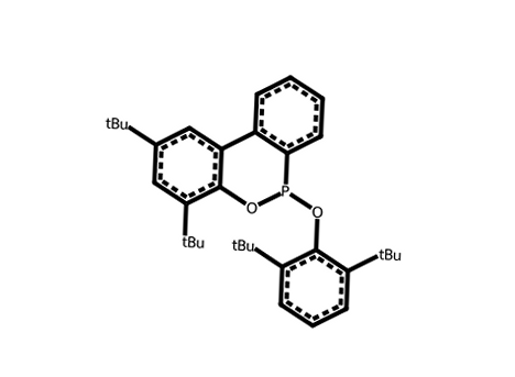 CC(C)(C)c1cc2c(c(C(C)(C)C)c1)OP(Oc1c(C(C)(C)C)cccc1C(C)(C)C)c1ccccc1-2